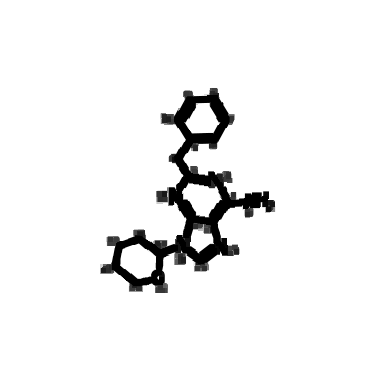 Nc1nc(Cc2ccccc2)nc2c1ncn2C1CCCCO1